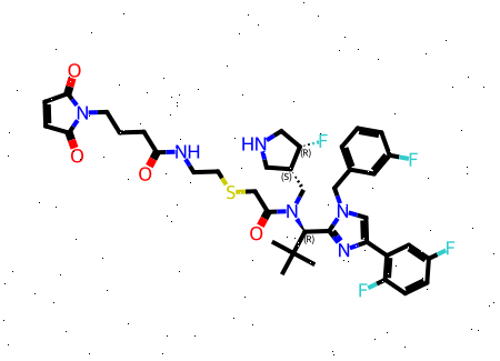 CC(C)(C)[C@H](c1nc(-c2cc(F)ccc2F)cn1Cc1cccc(F)c1)N(C[C@@H]1CNC[C@@H]1F)C(=O)CSCCNC(=O)CCCN1C(=O)C=CC1=O